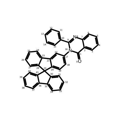 O=c1c2ccccc2nc(-c2ccccc2)n1-c1ccc2c(c1)-c1ccccc1C21c2ccccc2-c2ccccc21